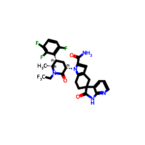 C[C@@H]1[C@H](c2c(F)ccc(F)c2F)C[C@H](n2c(C(N)=O)cc3c2CCC2(C3)C(=O)Nc3ncccc32)C(=O)N1CC(F)(F)F